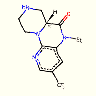 CCN1C(=O)[C@H]2CNCCN2c2ncc(C(F)(F)F)cc21